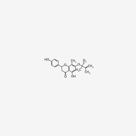 C=C(C)C(C)(C)Oc1cc(O)c2c(c1C)OC(c1ccc(O)cc1)CC2=O